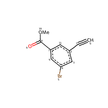 C#Cc1cc(Br)cc(C(=O)OC)c1